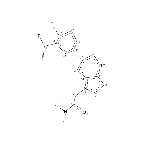 CN(C)C(=O)Cn1ncc2ncc(-c3ccc(F)c(C(F)F)c3)cc21